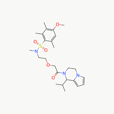 COc1cc(C)c(S(=O)(=O)N(C)CCOCC(=O)N2CCn3cccc3C2C(C)C)c(C)c1C